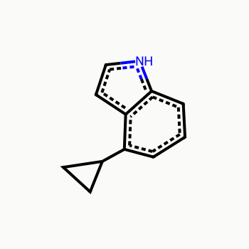 c1cc(C2CC2)c2cc[nH]c2c1